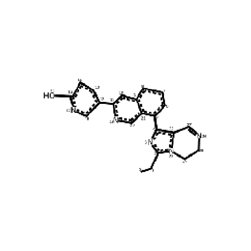 CCc1nc(-c2cccc3cc(-c4ccc(O)nc4)ncc23)c2n1CCN=C2